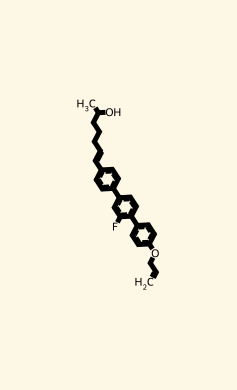 C=CCOc1ccc(-c2ccc(-c3ccc(C=CCCCC(C)O)cc3)cc2F)cc1